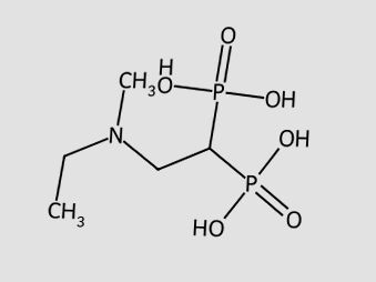 CCN(C)CC(P(=O)(O)O)P(=O)(O)O